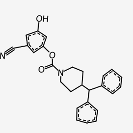 N#Cc1cc(O)cc(OC(=O)N2CCC(C(c3ccccc3)c3ccccc3)CC2)c1